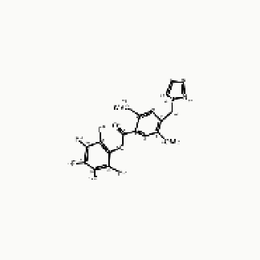 COc1cc(C(=O)Oc2c(F)c(F)c(F)c(F)c2F)c(OC)cc1Cn1cccn1